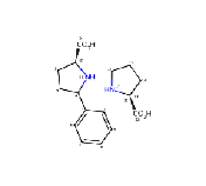 O=C(O)[C@@H]1CCC(c2ccccc2)N1.O=C(O)[C@@H]1CCCN1